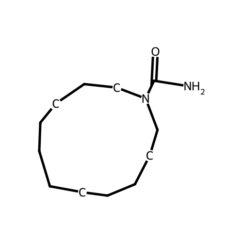 NC(=O)N1CCCCCCCCCCC1